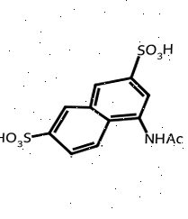 CC(=O)Nc1cc(S(=O)(=O)O)cc2cc(S(=O)(=O)O)[c][c]c12